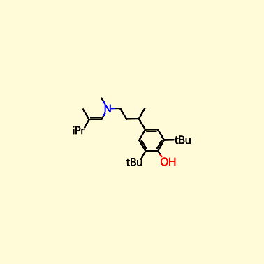 C/C(=C\N(C)CCC(C)c1cc(C(C)(C)C)c(O)c(C(C)(C)C)c1)C(C)C